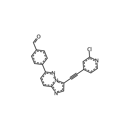 O=Cc1ccc(-c2ccc3ncc(C#Cc4ccnc(Cl)c4)n3n2)cc1